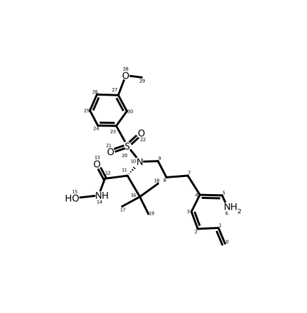 C=C/C=C\C(=C/N)CCCN([C@@H](C(=O)NO)C(C)(C)C)S(=O)(=O)c1cccc(OC)c1